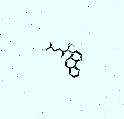 CN(C(=O)CCC(=O)O)c1ccnc2c1ccc1cccnc12